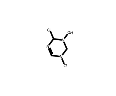 ON1CN(Cl)C=NC1Cl